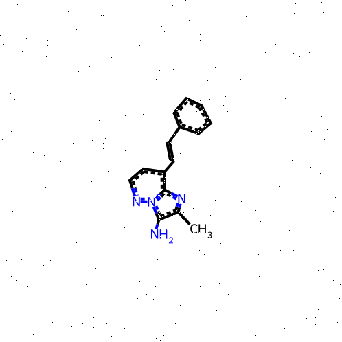 Cc1nc2c(/C=C/c3ccccc3)ccnn2c1N